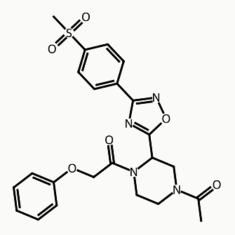 CC(=O)N1CCN(C(=O)COc2ccccc2)C(c2nc(-c3ccc(S(C)(=O)=O)cc3)no2)C1